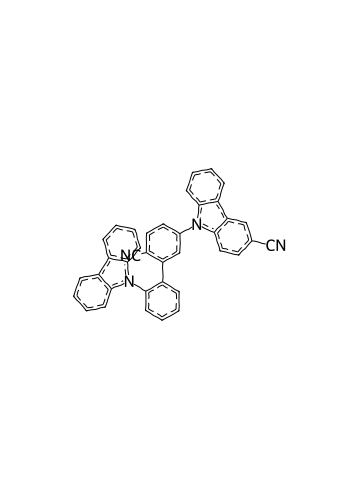 N#Cc1ccc2c(c1)c1ccccc1n2-c1ccc(C#N)c(-c2ccccc2-n2c3ccccc3c3ccccc32)c1